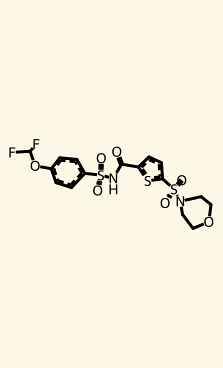 O=C(NS(=O)(=O)c1ccc(OC(F)F)cc1)c1ccc(S(=O)(=O)N2CCOCC2)s1